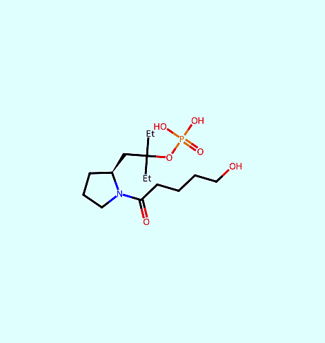 CCC(CC)(C[C@@H]1CCCN1C(=O)CCCCO)OP(=O)(O)O